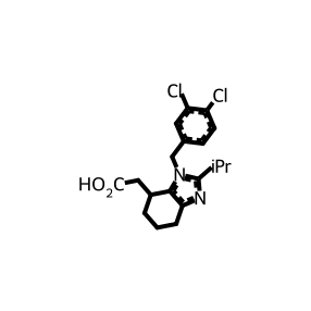 CC(C)c1nc2c(n1Cc1ccc(Cl)c(Cl)c1)C(CC(=O)O)CCC2